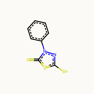 S=c1sc(S)nn1-c1ccccc1